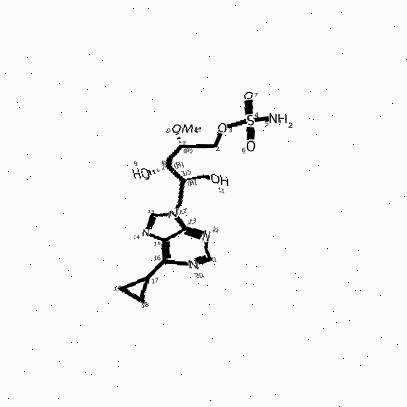 CO[C@H](COS(N)(=O)=O)[C@@H](O)[C@@H](O)n1cnc2c(C3CC3)ncnc21